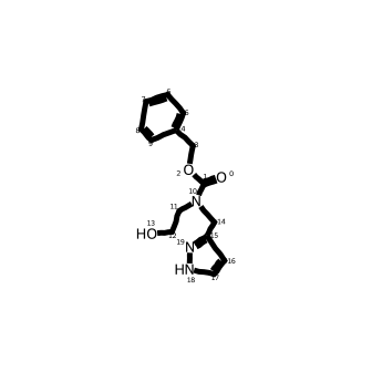 O=C(OCc1ccccc1)N(CCO)Cc1cc[nH]n1